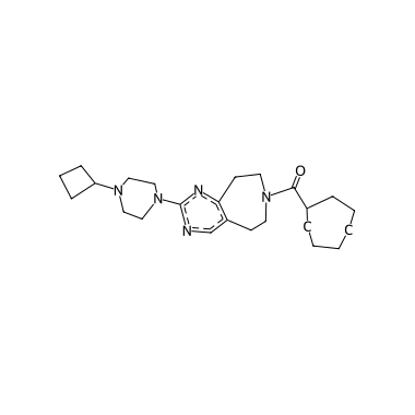 O=C(C1CCCCCC1)N1CCc2cnc(N3CCN(C4CCC4)CC3)nc2CC1